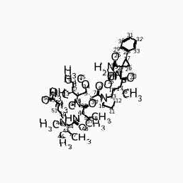 CC[C@H](C)[C@@H]([C@@H](CC(=O)N1CCC[C@H]1[C@H](OC)[C@@H](C)C(=O)N[C@@]1(C(N)=O)C[C@@H]1c1ccccc1)OC)N(C)C(=O)[C@@H](NC(=O)[C@H](C(C)C)N(C)CCCC(=O)O)C(C)C